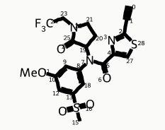 C#Cc1nc(C(=O)N(c2cc(OC)cc(S(C)(=O)=O)c2)C2CCN(CC(F)(F)F)C2=O)cs1